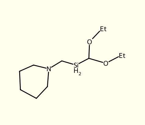 CCOC(OCC)[SiH2]CN1CCCCC1